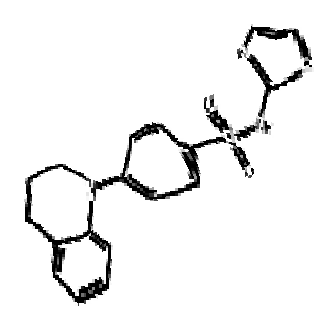 O=S(=O)(Nc1nccs1)c1ccc(N2CCCc3ccccc32)cc1